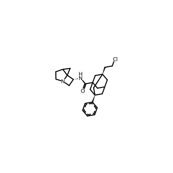 O=C(N[C@@H]1CN2CCC3CC312)C12CC3C[C@@](CCCl)(C1)C[C@](c1ccccc1)(C3)C2